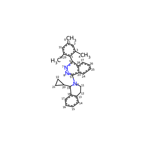 Cc1cc(C)c(-c2nnc(N3CCc4ccccc4C3C3CC3)c3ccccc23)c(C)c1